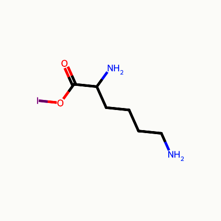 NCCCCC(N)C(=O)OI